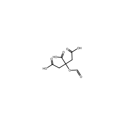 O=COC(CC(=O)O)(CC(=O)O)C(=O)O